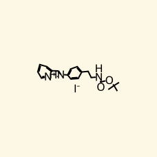 CC(C)(C)OC(=O)NCCc1ccc(NCC2=CC=CC=[N+]2)cc1.[I-]